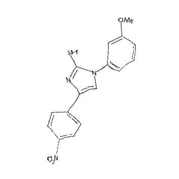 COc1cccc(-n2cc(-c3ccc([N+](=O)[O-])cc3)nc2S)c1